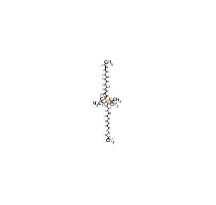 CCCCCCCCCCCCCCCC[PH](CCCCCCCCCCCCCCCC)(CC(C)C)CC(C)C